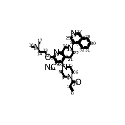 C=CC(=O)N1CCN(c2c(C#N)c(OCCN(C)C)nc3c2CCN(c2cncc4ccccc24)C3)CC1